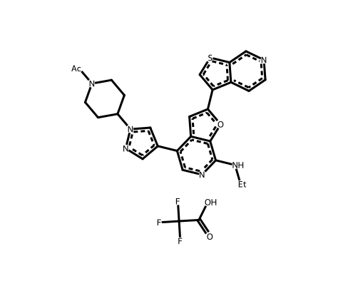 CCNc1ncc(-c2cnn(C3CCN(C(C)=O)CC3)c2)c2cc(-c3csc4cnccc34)oc12.O=C(O)C(F)(F)F